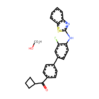 O=C(O)O.O=C(c1ccc(-c2ccc(Nc3nc4ccccc4s3)c(F)c2)cc1)C1CCC1